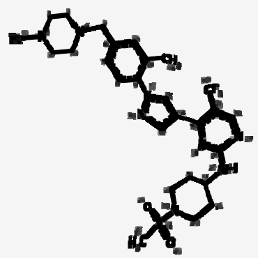 CCN1CCN(Cc2ccc(-n3cc(-c4nc(NC5CCN(S(C)(=O)=O)CC5)ncc4C(F)(F)F)cn3)c(C)c2)CC1